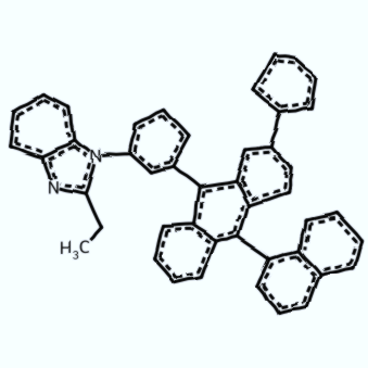 CCc1nc2ccccc2n1-c1cccc(-c2c3ccccc3c(-c3cccc4ccccc34)c3ccc(-c4ccccc4)cc23)c1